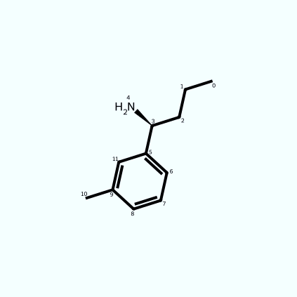 CCC[C@H](N)c1cccc(C)c1